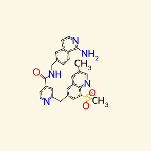 Cc1cnc2c(S(C)(=O)=O)cc(Cc3cc(C(=O)NCc4ccc5c(N)nccc5c4)ccn3)cc2c1